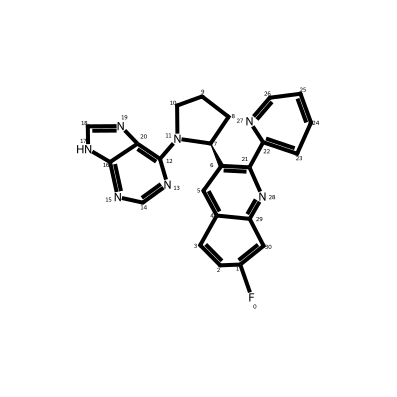 Fc1ccc2cc([C@@H]3CCCN3c3ncnc4[nH]cnc34)c(-c3ccccn3)nc2c1